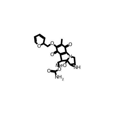 COC12C(COC(N)=O)C3=C(C(=O)C(C)=C(OCC4C=CC=CO4)C3=O)N1CC1NC12